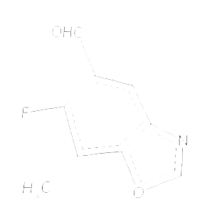 Cc1c(F)c(C=O)cc2ncoc12